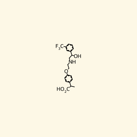 CC(C(=O)O)c1ccc(OCCNCC(O)c2cccc(C(F)(F)F)c2)cc1